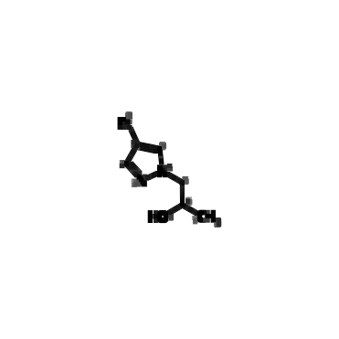 CCc1cnn(CC(C)O)c1